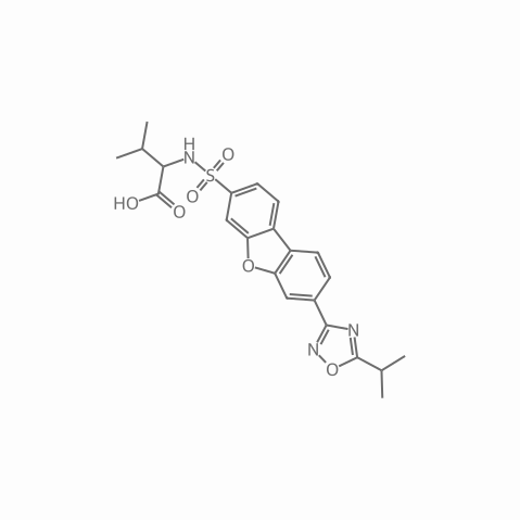 CC(C)c1nc(-c2ccc3c(c2)oc2cc(S(=O)(=O)NC(C(=O)O)C(C)C)ccc23)no1